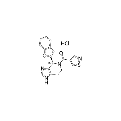 Cl.O=C(c1cnsc1)N1CCc2[nH]cnc2[C@H]1c1cc2ccccc2o1